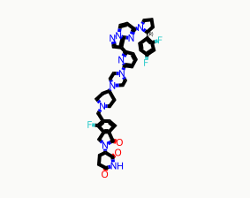 O=C1CCC(N2Cc3c(ccc(CN4CCC(N5CCN(c6cccc(-c7cnn8ccc(N9CCC[C@@H]9c9ccc(F)cc9F)nc78)n6)CC5)CC4)c3F)C2=O)C(=O)N1